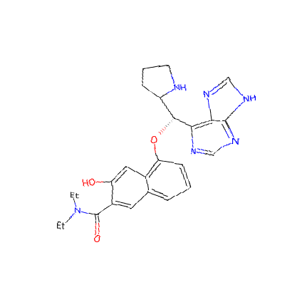 CCN(CC)C(=O)c1cc2cccc(O[C@@H](c3ncnc4[nH]cnc34)C3CCCN3)c2cc1O